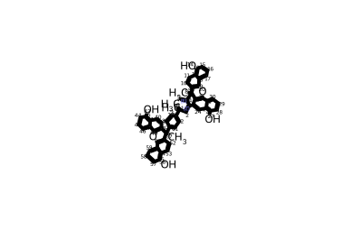 C=C(/C=C\C(=C/C)C1(C)c2ccc3c(O)cccc3c2Oc2c1ccc1c(O)cccc21)c1ccc(C2(C)c3ccc4c(O)cccc4c3Oc3c2ccc2c(O)cccc32)cc1